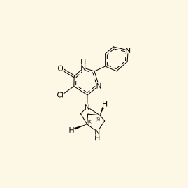 O=c1[nH]c(-c2ccncc2)nc(N2C[C@@H]3C[C@H]2CN3)c1Cl